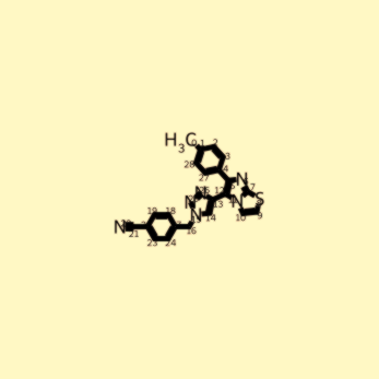 Cc1ccc(-c2nc3sccn3c2-c2cn(Cc3ccc(C#N)cc3)nn2)cc1